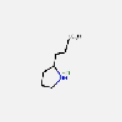 Cl.O=C(O)CCC1CCCN1